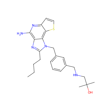 CCCCc1nc2c(N)nc3ccsc3c2n1Cc1cccc(CNCC(C)(C)O)c1